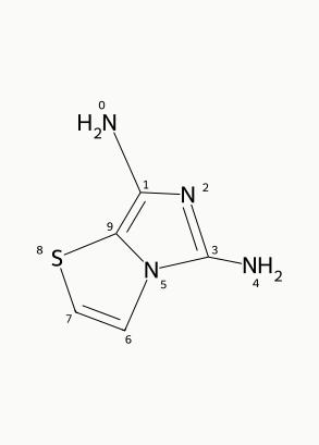 Nc1nc(N)n2ccsc12